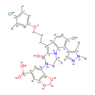 Cc1cc(OCCCc2c3n(c4c(-c5c(C)nn(C)c5C)c(Cl)ccc24)C(C)CN(c2cc(C(=O)O)cc4c2OCO4)C3=O)cc(C)c1Cl